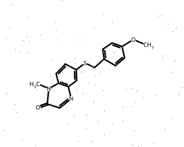 COc1ccc(CSc2ccc3c(c2)ncc(=O)n3C)cc1